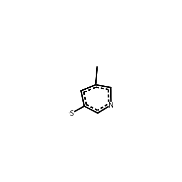 Cc1cncc([S])c1